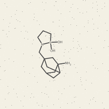 NC12CC3CC1CC(CN1CCCS1(O)O)(C3)C2